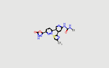 CCNC(=O)Nc1cc(-c2nc(C(F)(F)F)cs2)c(-c2ccc(-c3n[nH]c(=O)o3)nn2)cn1